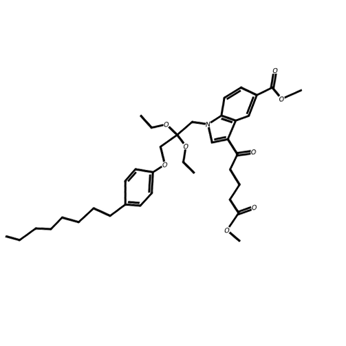 CCCCCCCCc1ccc(OCC(Cn2cc(C(=O)CCCC(=O)OC)c3cc(C(=O)OC)ccc32)(OCC)OCC)cc1